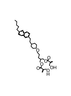 C=C(CO)C(=O)OCC(CCCOC1CCC(CCc2ccc3cc(CCCCC)ccc3c2)CC1)COC(=O)C(=C)CO